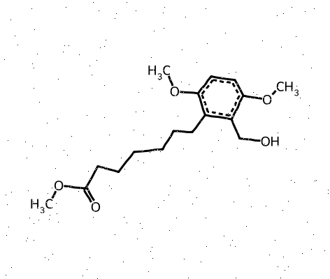 COC(=O)CCCCCCc1c(OC)ccc(OC)c1CO